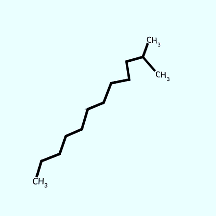 CCCCC[CH]CCCCC(C)C